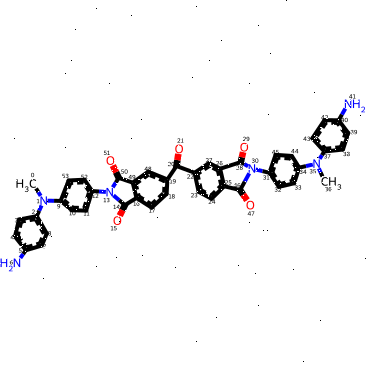 CN(c1ccc(N)cc1)c1ccc(N2C(=O)c3ccc(C(=O)c4ccc5c(c4)C(=O)N(c4ccc(N(C)c6ccc(N)cc6)cc4)C5=O)cc3C2=O)cc1